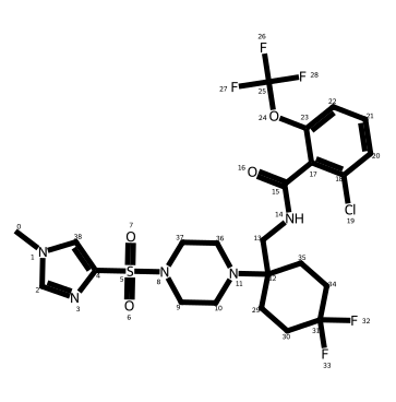 Cn1cnc(S(=O)(=O)N2CCN(C3(CNC(=O)c4c(Cl)cccc4OC(F)(F)F)CCC(F)(F)CC3)CC2)c1